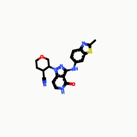 Cc1nc2ccc(Nc3nn(C4COCCC4C#N)c4cc[nH]c(=O)c34)cc2s1